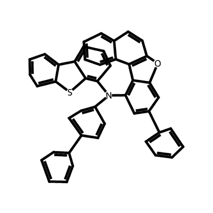 c1ccc(-c2ccc(N(c3cccc4c3sc3ccccc34)c3cc(-c4ccccc4)cc4oc5ccc6ccccc6c5c34)cc2)cc1